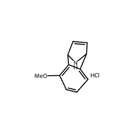 COc1cccc2c1C1C=CC2N1.Cl